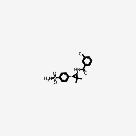 CC1(C)[C@H](NC(=O)c2cccc(Cl)c2)[C@H]1c1ccc(S(N)(=O)=O)cc1